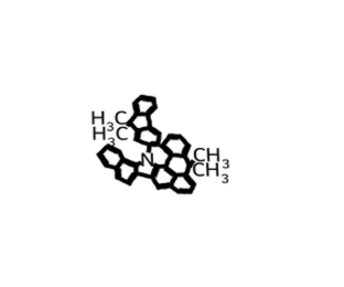 CC1(C)c2ccccc2-c2ccc(-n3c4c5c6c(cccc6cc4c4ccc6ccccc6c43)C(C)(C)c3ccccc3-5)cc21